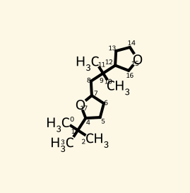 CC(C)(C)C1CCC(CC(C)(C)C2CCOC2)O1